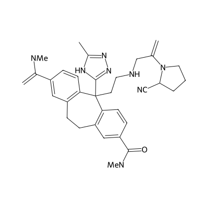 C=C(NC)c1ccc2c(c1)CCc1cc(C(=O)NC)ccc1C2(CCNCC(=C)N1CCCC1C#N)c1nnc(C)[nH]1